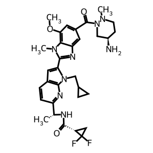 COc1cc(C(=O)N2C[C@H](N)CCN2C)cc2nc(-c3cc4ccc([C@@H](C)NC(=O)[C@@H]5CC5(F)F)nc4n3CC3CC3)n(C)c12